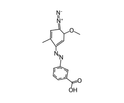 COC1C=C(N=Nc2cccc(C(=O)O)c2)C(C)=CC1=[N+]=[N-]